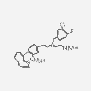 CNCCN(CCc1ccc(-c2cccc3cccnc23)c(OC)c1)Cc1ccc(F)c(Cl)c1